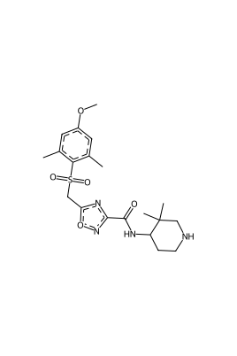 COc1cc(C)c(S(=O)(=O)Cc2nc(C(=O)NC3CCNCC3(C)C)no2)c(C)c1